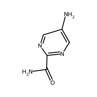 NC(=O)c1ncc(N)cn1